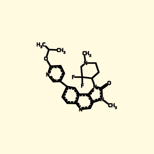 CC(C)Oc1ccc(-c2ccc3ncc4c(c3c2)n(C2CCN(C)CC2(F)F)c(=O)n4C)cn1